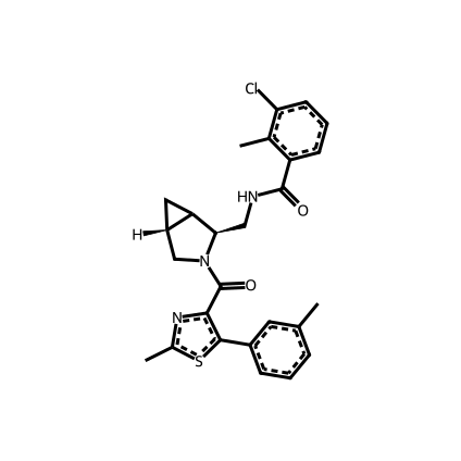 Cc1cccc(-c2sc(C)nc2C(=O)N2C[C@@H]3CC3[C@H]2CNC(=O)c2cccc(Cl)c2C)c1